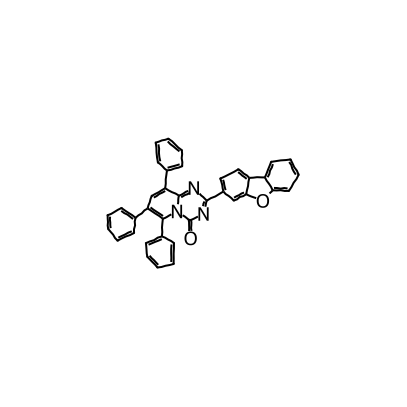 O=c1nc(-c2ccc3c(c2)oc2ccccc23)nc2c(-c3ccccc3)cc(-c3ccccc3)c(-c3ccccc3)n12